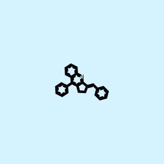 C(=C1CCc2c1nc1ccccc1c2-c1ccccc1)c1ccccc1